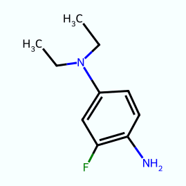 CCN(CC)c1ccc(N)c(F)c1